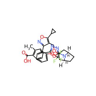 Cc1cc(-c2nnc(N3[C@@H]4CC[C@H]3C[C@@H](OCc3c(-c5ccccc5OC(F)(F)F)noc3C3CC3)C4)o2)ccc1C(=O)O